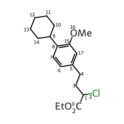 CCOC(=O)C(Cl)CCc1ccc(C2CCCCC2)c(OC)c1